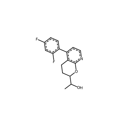 CC(O)C1CCc2c(-c3ccc(F)cc3F)ccnc2O1